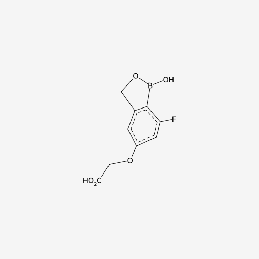 O=C(O)COc1cc(F)c2c(c1)COB2O